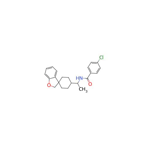 CC(NC(=O)c1ccc(Cl)cc1)C1CCC2(CC1)COc1ccccc12